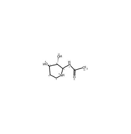 O=C(NC1NCC[C@@H](O)[C@@H]1O)C(F)(F)F